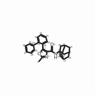 Cc1nc(C(=O)NC23CC4CC(CC(C4)C2)C3)c(-c2ccccc2-c2ccccc2)o1